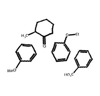 CC1CCCCC1=O.CCOc1ccccc1.COc1ccccc1.O=C(O)c1ccccc1